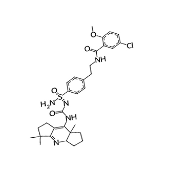 COc1ccc(Cl)cc1C(=O)NCCc1ccc(S(N)(=O)=NC(=O)NC2=C3CCC(C)(C)C3=NC3CCCC23C)cc1